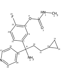 CNC(=O)Oc1cc(C(N)(CCC2CC2)c2ccncc2)ccc1F